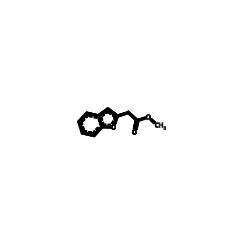 COC(=O)[CH]c1cc2ccccc2o1